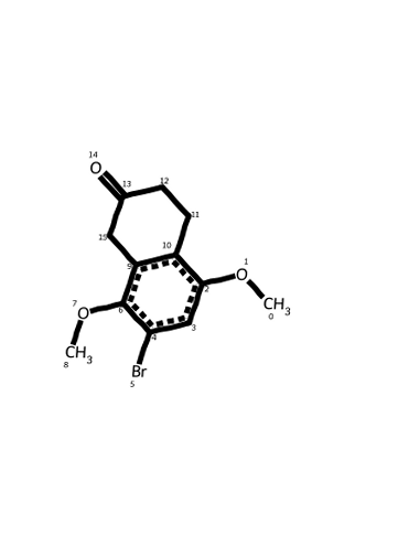 COc1cc(Br)c(OC)c2c1CCC(=O)C2